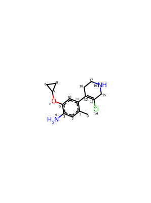 Cc1cc(N)c(OC2CC2)cc1C1=C(Cl)CNCC1